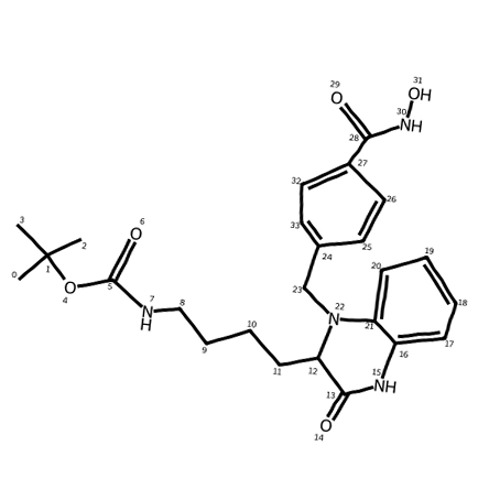 CC(C)(C)OC(=O)NCCCCC1C(=O)Nc2ccccc2N1Cc1ccc(C(=O)NO)cc1